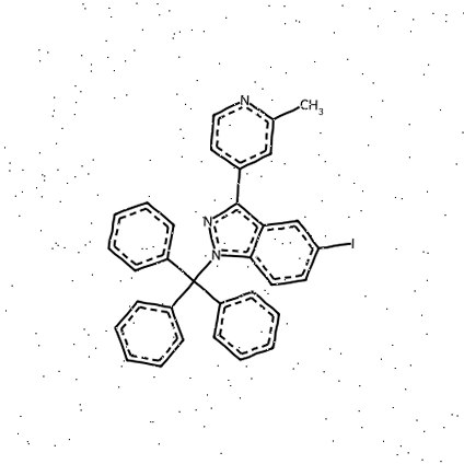 Cc1cc(-c2nn(C(c3ccccc3)(c3ccccc3)c3ccccc3)c3ccc(I)cc23)ccn1